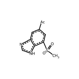 CC(=O)c1cc(S(C)(=O)=O)c2[nH]cnc2c1